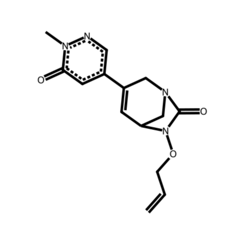 C=CCON1C(=O)N2CC(c3cnn(C)c(=O)c3)=CC1C2